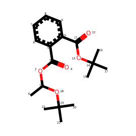 CC(OC(=O)c1ccccc1C(=O)OC(C)(C)C)OC(C)(C)C